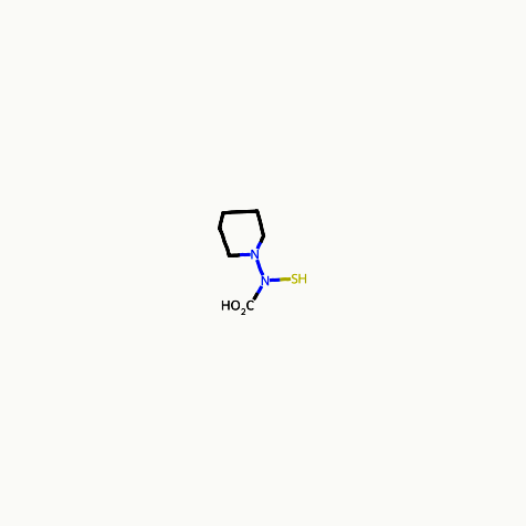 O=C(O)N(S)N1CCCCC1